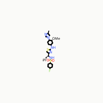 COc1cc(Nc2nc([C@H](CC(C)C)NS(=O)(=O)c3ccc(F)cc3)cs2)ccc1-n1cnc(C)c1